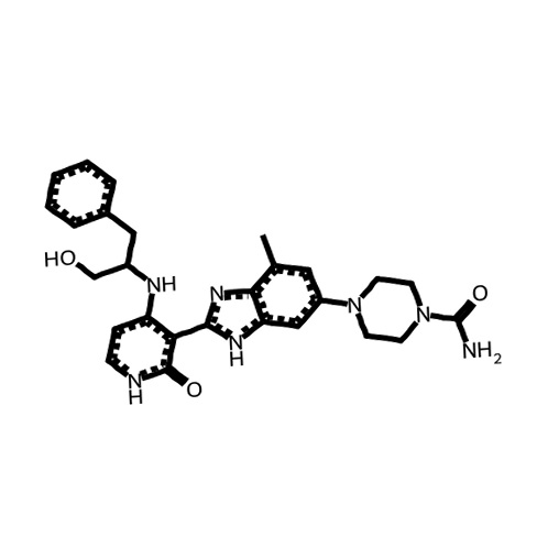 Cc1cc(N2CCN(C(N)=O)CC2)cc2[nH]c(-c3c(NC(CO)Cc4ccccc4)cc[nH]c3=O)nc12